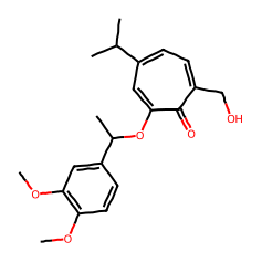 COc1ccc(C(C)Oc2cc(C(C)C)ccc(CO)c2=O)cc1OC